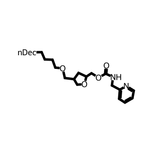 CCCCCCCCCCCCCCOCC1COC(COC(=O)NCc2ccccn2)C1